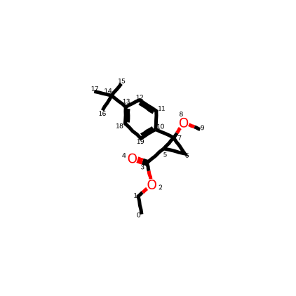 CCOC(=O)C1CC1(OC)c1ccc(C(C)(C)C)cc1